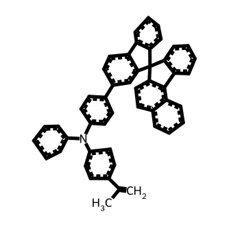 C=C(C)c1ccc(N(c2ccccc2)c2ccc(-c3ccc4c(c3)C3(c5ccccc5-4)c4ccccc4-c4c3ccc3ccccc43)cc2)cc1